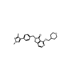 Cc1nn(C)cc1-c1ccc(CN2Cc3ccnc(OCC4CCOCC4)c3C2=O)cc1